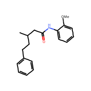 COc1ccccc1NC(=O)CC(C)CCc1ccccc1